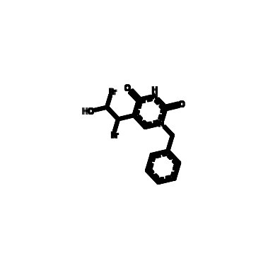 O=c1[nH]c(=O)n(Cc2ccccc2)cc1C(Br)C(O)Br